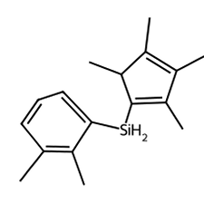 CC1=C(C)C(C)C([SiH2]c2cccc(C)c2C)=C1C